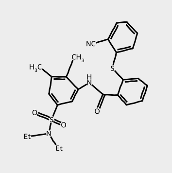 CCN(CC)S(=O)(=O)c1cc(C)c(C)c(NC(=O)c2ccccc2Sc2ccccc2C#N)c1